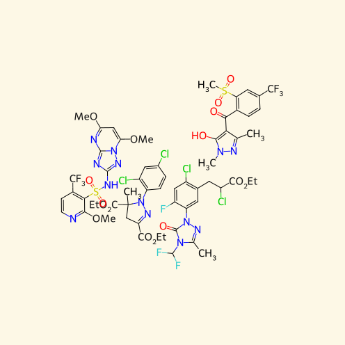 CCOC(=O)C(Cl)Cc1cc(-n2nc(C)n(C(F)F)c2=O)c(F)cc1Cl.CCOC(=O)C1=NN(c2ccc(Cl)cc2Cl)C(C)(C(=O)OCC)C1.COc1cc(OC)n2nc(NS(=O)(=O)c3c(C(F)(F)F)ccnc3OC)nc2n1.Cc1nn(C)c(O)c1C(=O)c1ccc(C(F)(F)F)cc1S(C)(=O)=O